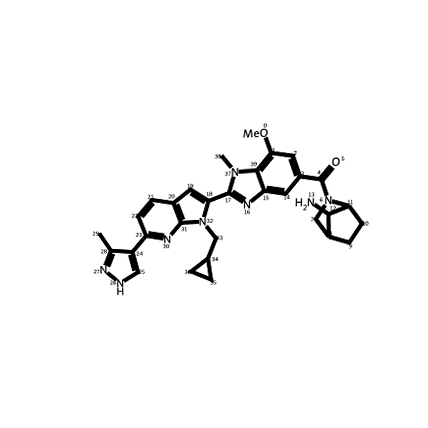 COc1cc(C(=O)N2CC3CCC2C3N)cc2nc(-c3cc4ccc(-c5c[nH]nc5C)nc4n3CC3CC3)n(C)c12